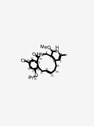 COC1NC(C)=CC2=C1CNC(=O)c1cc(Cl)cc(OC(C)C)c1C/C=C/CC2